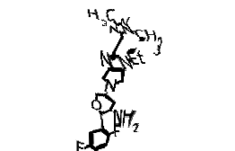 CCn1c(-c2nc(C)nn2C)nc2c1CN([C@H]1CO[C@H](c3cc(F)ccc3F)[C@@H](N)C1)C2